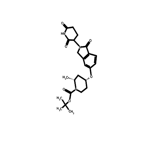 C[C@@H]1C[C@H](Oc2ccc3c(c2)CN(C2CCC(=O)NC2=O)C3=O)CCN1C(=O)OC(C)(C)C